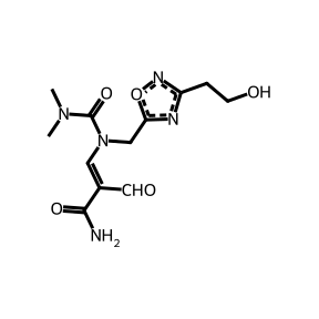 CN(C)C(=O)N(/C=C(\C=O)C(N)=O)Cc1nc(CCO)no1